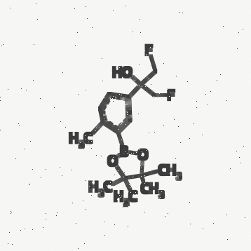 Cc1ccc(C(O)(CF)CF)cc1B1OC(C)(C)C(C)(C)O1